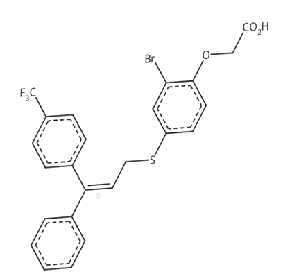 O=C(O)COc1ccc(SC/C=C(/c2ccccc2)c2ccc(C(F)(F)F)cc2)cc1Br